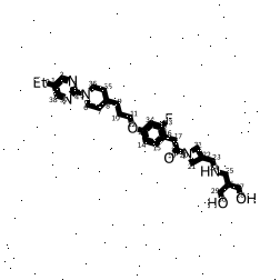 CCc1cnc(N2CCC(CCCOc3ccc(CC(=O)N4CC(CNCC(CO)CO)C4)c(F)c3)CC2)nc1